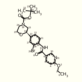 CCOc1ccc(C(=O)Nc2ccc([C@@H]3CN(C(=O)OC(C)(C)C)CCO3)cc2Br)cn1